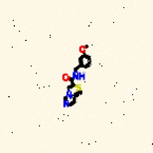 COc1cccc(CNC(=O)C2=CN3C=NC=CC3=CS2)c1